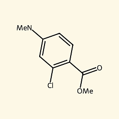 CNc1ccc(C(=O)OC)c(Cl)c1